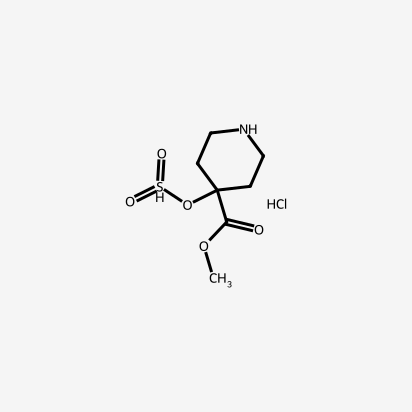 COC(=O)C1(O[SH](=O)=O)CCNCC1.Cl